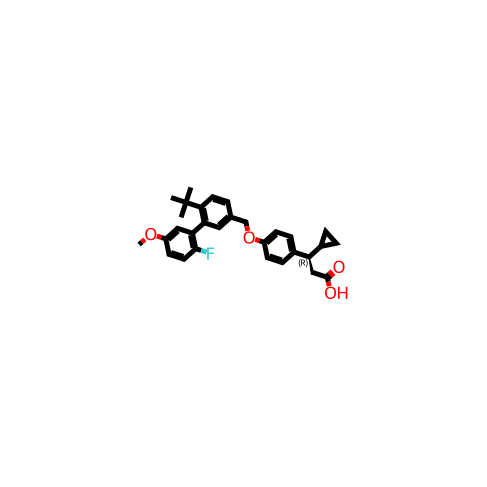 COc1ccc(F)c(-c2cc(COc3ccc([C@H](CC(=O)O)C4CC4)cc3)ccc2C(C)(C)C)c1